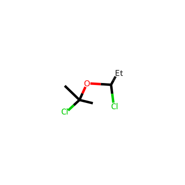 CCC(Cl)OC(C)(C)Cl